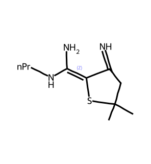 CCCN/C(N)=C1\SC(C)(C)CC1=N